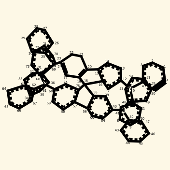 c1cccc(N(c2ccccc2)c2ccc3c(c2)C2(C4=C3CCC(N(c3ccccc3)c3ccccc3)=C4)c3cc(N(c4ccccc4)c4ccccc4)ccc3-c3ccc(N(c4ccccc4)c4ccccc4)cc32)c#1